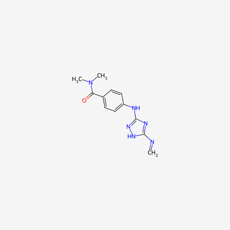 C=Nc1nc(Nc2ccc(C(=O)N(C)C)cc2)n[nH]1